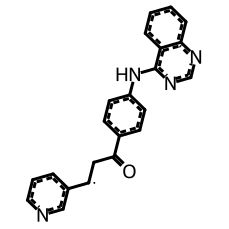 O=C(C[CH]c1cccnc1)c1ccc(Nc2ncnc3ccccc23)cc1